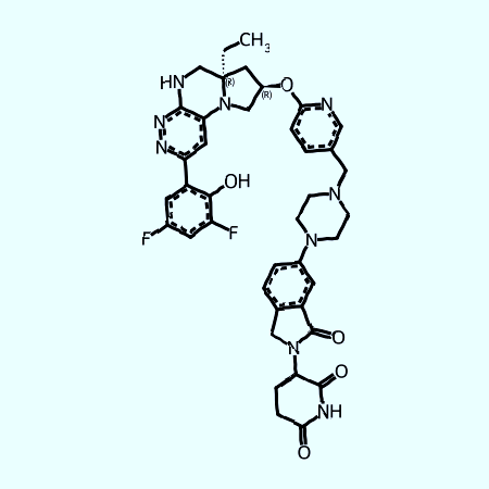 CC[C@@]12CNc3nnc(-c4cc(F)cc(F)c4O)cc3N1C[C@H](Oc1ccc(CN3CCN(c4ccc5c(c4)C(=O)N(C4CCC(=O)NC4=O)C5)CC3)cn1)C2